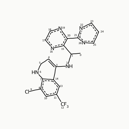 CC(NC1=CCNc2c(Cl)cc(C(F)(F)F)cc21)c1nccnc1-c1ncccn1